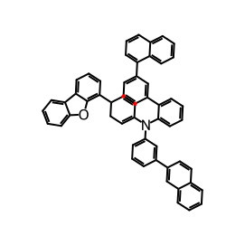 C1=CC(c2cccc3c2oc2ccccc23)CC=C1N(c1cccc(-c2ccc3ccccc3c2)c1)c1ccccc1-c1cccc(-c2cccc3ccccc23)c1